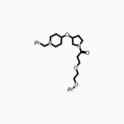 CC(C)CN1CCC(OC2CCN(C(=O)CCOCCOC(C)C)C2)CC1